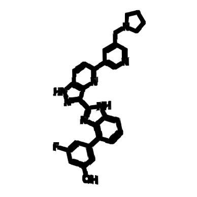 Oc1cc(F)cc(-c2cccc3[nH]c(-c4n[nH]c5ccc(-c6cncc(CN7CCCC7)c6)nc45)nc23)c1